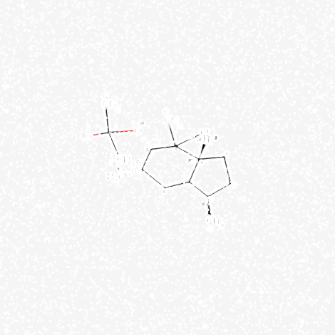 C[C@@H]1CC[C@@H]2C1C[C@H](C)[C@H](OC(C)(C)O)C2(C)C